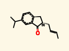 CC=CC[C@H]1Cc2ccc(C(C)C)cc2C1=O